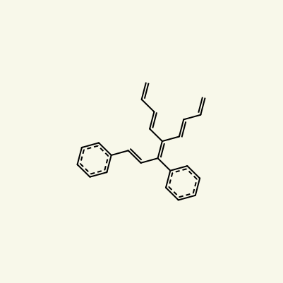 C=CC=CC(C=CC=C)=C(C=Cc1ccccc1)c1ccccc1